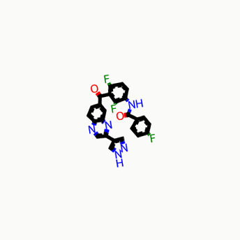 O=C(Nc1ccc(F)c(C(=O)c2ccc3ncc(-c4cn[nH]c4)nc3c2)c1F)c1ccc(F)cc1